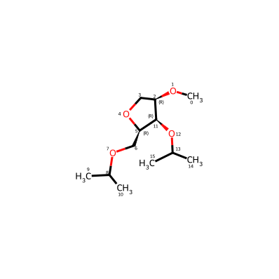 CO[C@@H]1CO[C@H](COC(C)C)[C@@H]1OC(C)C